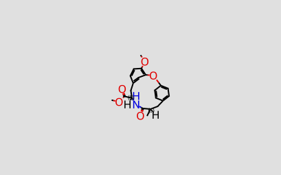 COC(=O)[C@@H]1Cc2ccc(OC)c(c2)Oc2ccc(cc2)C[C@H](C)C(=O)N1